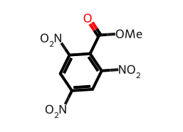 COC(=O)c1c([N+](=O)[O-])cc([N+](=O)[O-])cc1[N+](=O)[O-]